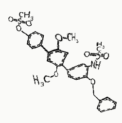 COc1cc(-c2ccc(OCc3ccccc3)c(NS(C)(=O)=O)c2)c(OC)cc1-c1ccc(OS(C)(=O)=O)cc1